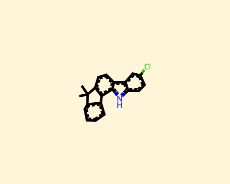 CC1(C)c2ccccc2-c2c1ccc1c2[nH]c2ccc(Cl)cc21